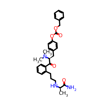 C[C@@H](NCCCc1ccccc1C(=O)[C@H](Cc1ccc(OC(=O)OCc2ccccc2)cc1)N(C)C)C(N)=O